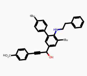 CC(C)(C)c1ccc(-c2cc(C(O)C#Cc3ccc(C(=O)O)cc3)cc(C(C)(C)C)c2NCCc2ccccc2)cc1